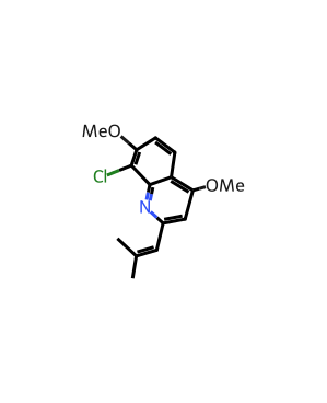 COc1ccc2c(OC)cc(C=C(C)C)nc2c1Cl